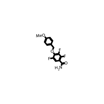 COc1ccc(COc2c(F)cc(C(N)=O)c(F)c2F)cc1